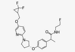 CC(C(=O)NCCF)c1ccc(O[C@@H]2CCN(c3ccc(OCC4CC4(F)F)cn3)C2)cc1